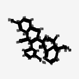 CC(Nc1ncnc(N)c1C(=N)I)c1nc2ccc(F)cn2c(=O)c1-c1cccc(F)c1